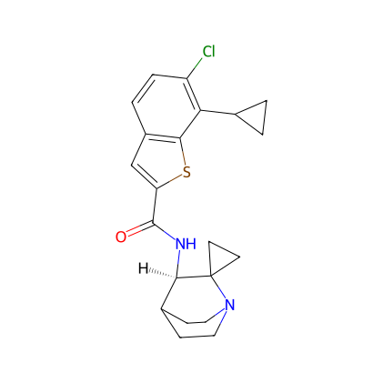 O=C(N[C@@H]1C2CCN(CC2)C12CC2)c1cc2ccc(Cl)c(C3CC3)c2s1